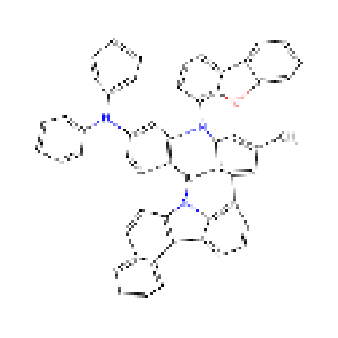 Cc1cc2c3c(c1)N(c1cccc4c1oc1ccccc14)c1cc(N(c4ccccc4)c4ccccc4)ccc1B3n1c3ccc4ccccc4c3c3cccc-2c31